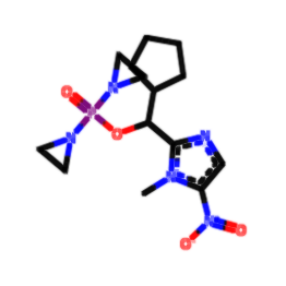 Cn1c([N+](=O)[O-])cnc1C(OP(=O)(N1CC1)N1CC1)C1CCCC1